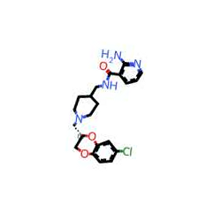 Nc1ncccc1C(=O)NCC1CCN(C[C@H]2COc3ccc(Cl)cc3O2)CC1